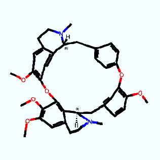 COc1ccc2cc1Oc1ccc(cc1)C[C@@H]1c3cc(c(OC)cc3CCN1C)Oc1c(OC)c(OC)cc3c1[C@@H](C2)N(C)CC3